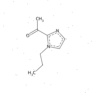 CCCn1c[c]nc1C(C)=O